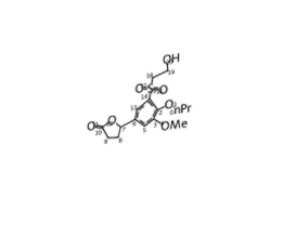 CCCOc1c(OC)cc(C2CCC(=O)O2)cc1S(=O)(=O)CCO